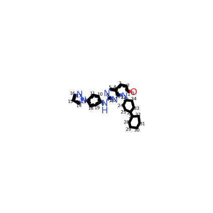 O=c1ccc2cnc(Nc3ccc(-n4cccn4)cc3)nc2n1C1CCC(C2CCCCC2)CC1